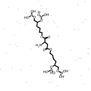 NC(CC(=O)OCCCCC(CON(O)O)ON(O)O)C(=O)OCCCCC(CON(O)O)ON(O)O